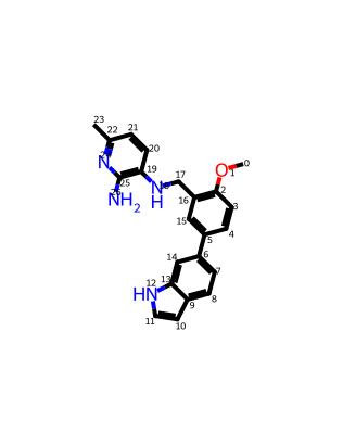 COc1ccc(-c2ccc3cc[nH]c3c2)cc1CNc1ccc(C)nc1N